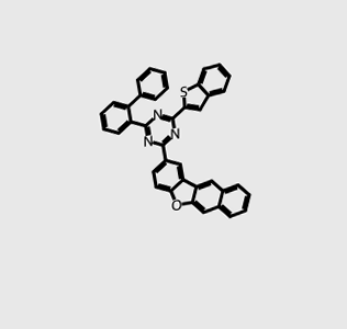 c1ccc(-c2ccccc2-c2nc(-c3ccc4oc5cc6ccccc6cc5c4c3)nc(-c3cc4ccccc4s3)n2)cc1